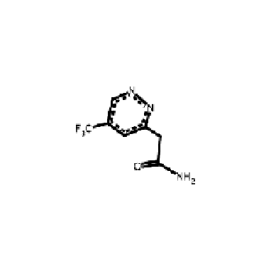 NC(=O)Cc1cc(C(F)(F)F)cnn1